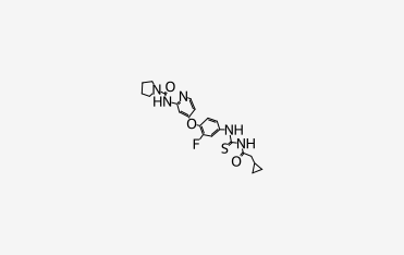 O=C(CC1CC1)NC(=S)Nc1ccc(Oc2ccnc(NC(=O)N3CCCC3)c2)c(F)c1